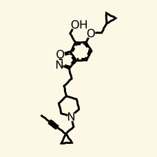 CC#CC1(CN2CCC(CCc3noc4c(CO)c(OCC5CC5)ccc34)CC2)CC1